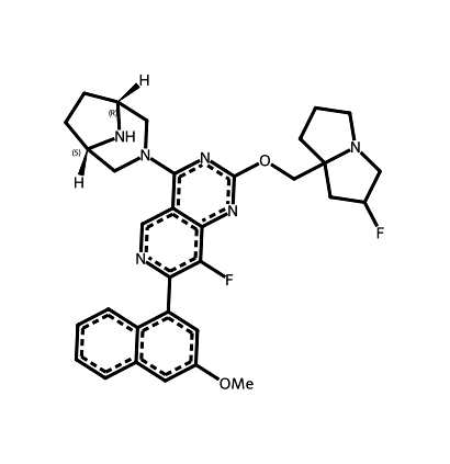 COc1cc(-c2ncc3c(N4C[C@H]5CC[C@@H](C4)N5)nc(OCC45CCCN4CC(F)C5)nc3c2F)c2ccccc2c1